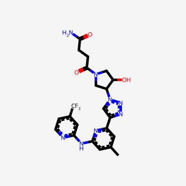 Cc1cc(Nc2cc(C(F)(F)F)ccn2)nc(-c2cn(C3CN(C(=O)CCC(N)=O)CC3O)nn2)c1